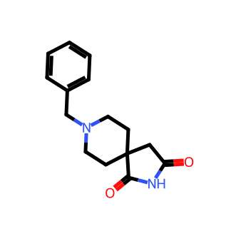 O=C1CC2(CCN(Cc3ccccc3)CC2)C(=O)N1